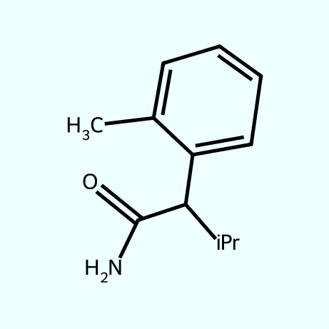 Cc1ccccc1C(C(N)=O)C(C)C